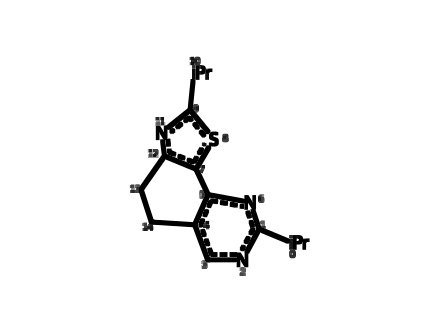 CC(C)c1ncc2c(n1)-c1sc(C(C)C)nc1CC2